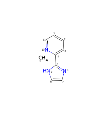 C.c1ccc(-c2ncc[nH]2)nc1